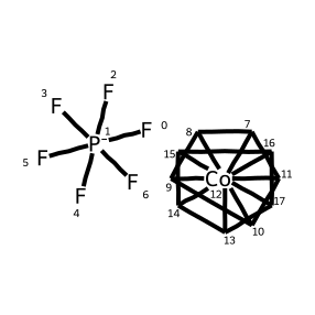 F[P-](F)(F)(F)(F)F.[CH]12[CH]3[CH]4[CH]5[CH]1[Co]23451678[CH]2[CH]1[CH]6[CH]7[CH]28